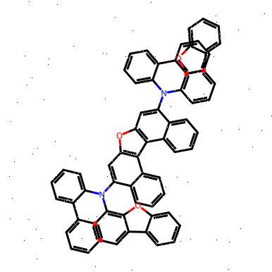 c1ccc(-c2ccccc2N(c2cc3oc4cc(N(c5ccccc5-c5ccccc5)c5cccc6c5oc5ccccc56)c5ccccc5c4c3c3ccccc23)c2cccc3c2oc2ccccc23)cc1